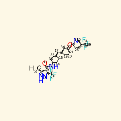 Cc1[nH]nc(C(F)(F)F)c1C(=O)NC1CCC(=Cc2cccc(Oc3ccc(C(F)(F)F)cn3)c2)CC1